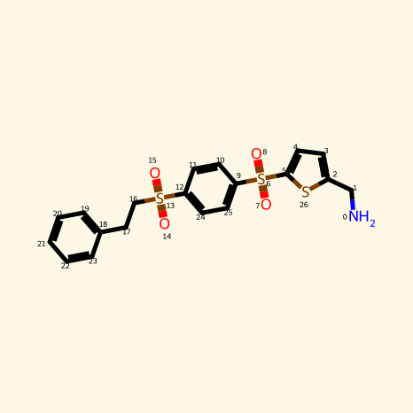 NCc1ccc(S(=O)(=O)c2ccc(S(=O)(=O)CCc3ccccc3)cc2)s1